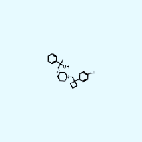 CC(O)(C[C@H]1CCCN(CC2(c3ccc(Cl)cc3)CCC2)C1)c1ccccc1